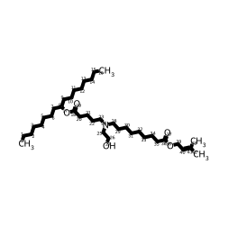 CCCCCCCCC(CCCCCCCC)OC(=O)CCCCN(CCO)CCCCCCCCC(=O)OCC=C(C)C